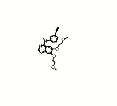 C#Cc1cccc(N([CH2])c2ncnc3cc(OCCOC)c(OCCOC)cc23)c1